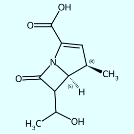 CC(O)C1C(=O)N2C(C(=O)O)=C[C@@H](C)[C@@H]12